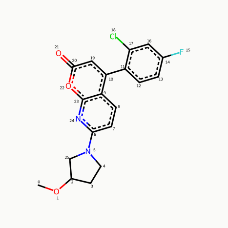 COC1CCN(c2ccc3c(-c4ccc(F)cc4Cl)cc(=O)oc3n2)C1